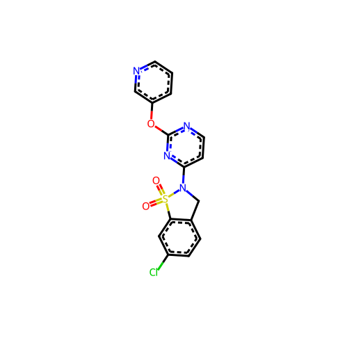 O=S1(=O)c2cc(Cl)ccc2CN1c1ccnc(Oc2cccnc2)n1